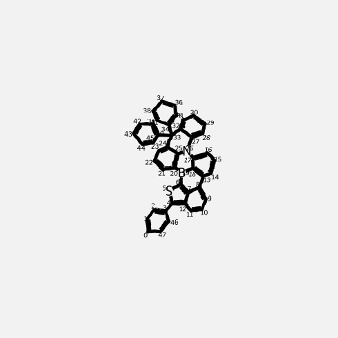 c1ccc(-c2sc3c4c(cccc24)-c2cccc4c2B3c2cccc3c2N4c2ccccc2C3(c2ccccc2)c2ccccc2)cc1